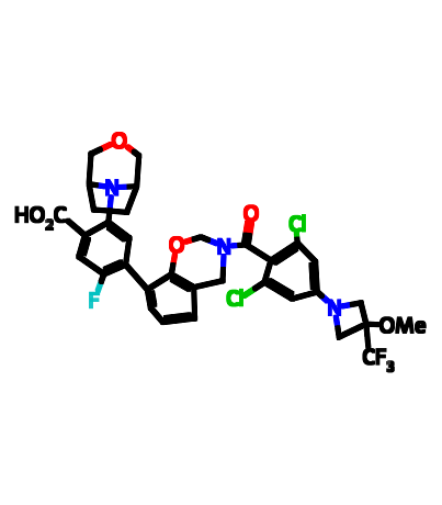 COC1(C(F)(F)F)CN(c2cc(Cl)c(C(=O)N3COc4c(cccc4-c4cc(N5C6CCC5COC6)c(C(=O)O)cc4F)C3)c(Cl)c2)C1